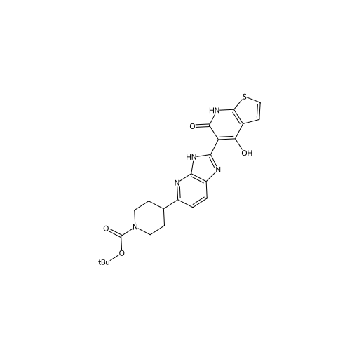 CC(C)(C)OC(=O)N1CCC(c2ccc3nc(-c4c(O)c5ccsc5[nH]c4=O)[nH]c3n2)CC1